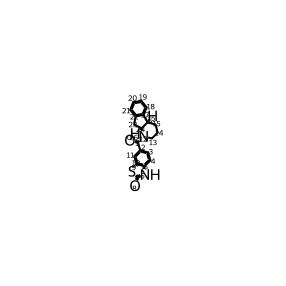 O=C(c1ccc2[nH]c(=O)sc2c1)N1CCC[C@H]2c3ccccc3C[C@H]21